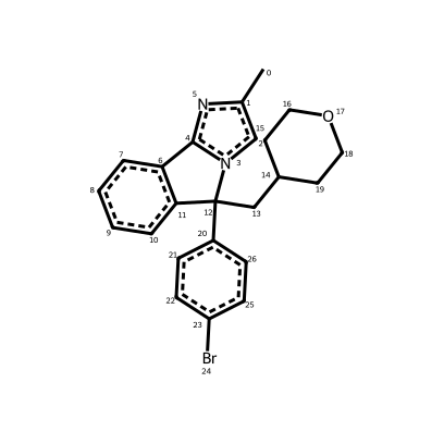 Cc1cn2c(n1)-c1ccccc1C2(CC1CCOCC1)c1ccc(Br)cc1